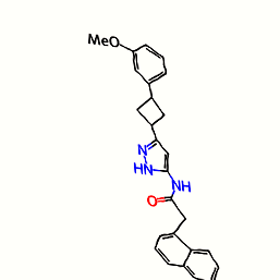 COc1cccc(C2CC(c3cc(NC(=O)Cc4cccc5ccccc45)[nH]n3)C2)c1